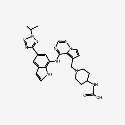 CC(C)n1nnc(-c2cc(Nc3ncnn4ccc(CN5CCC(NC(=O)O)CC5)c34)c3[nH]ccc3c2)n1